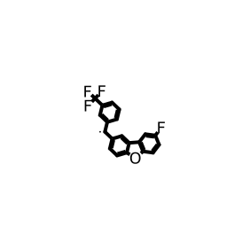 Fc1ccc2oc3ccc([CH]c4cccc(C(F)(F)F)c4)cc3c2c1